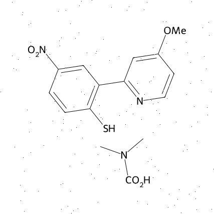 CN(C)C(=O)O.COc1ccnc(-c2cc([N+](=O)[O-])ccc2S)c1